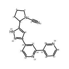 N#CN1CCCC1c1cc(-c2ccnc(-c3cccnc3)c2)n[nH]1